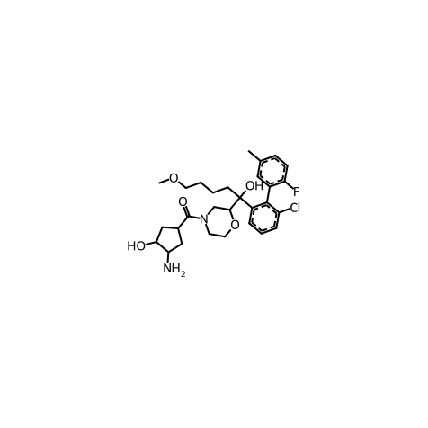 COCCCCC(O)(c1cccc(Cl)c1-c1cc(C)ccc1F)C1CN(C(=O)C2CC(N)C(O)C2)CCO1